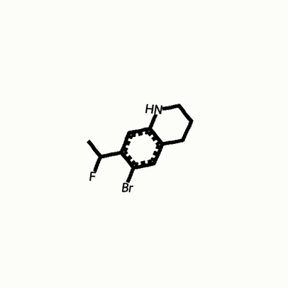 CC(F)c1cc2c(cc1Br)CCCN2